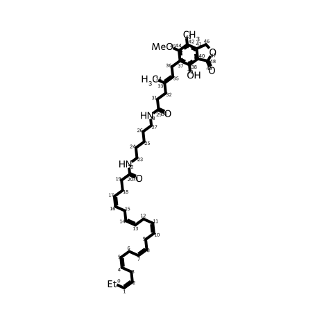 CC/C=C\C/C=C\C/C=C\C/C=C\C/C=C\C/C=C\CCC(=O)NCCCCCNC(=O)CC/C(C)=C/Cc1c(O)c2c(c(C)c1OC)COC2=O